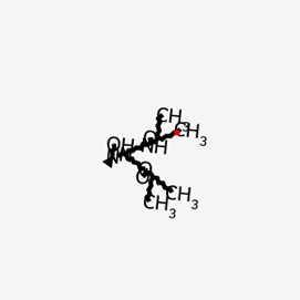 CCCCCCC(CCCCCC)CC(=O)NCCCCCN(CCCCCOC(=O)CC(CCCCCC)CCCCCC)CCN(CCO)C1CC1